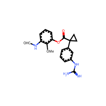 COc1c(NC=O)cccc1OC(=O)C1(c2cccc(NC(=N)N)c2)CC1